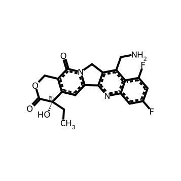 CC[C@@]1(O)C(=O)OCc2c1cc1n(c2=O)Cc2c-1nc1cc(F)cc(F)c1c2CN